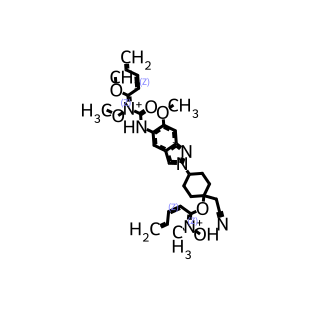 C=C/C=C\C(OC1(CC#N)CCC(n2cc3cc(NC(=O)/[N+](OC)=C(\C=C/C=C)OC)c(OC)cc3n2)CC1)=[N+](/C)O